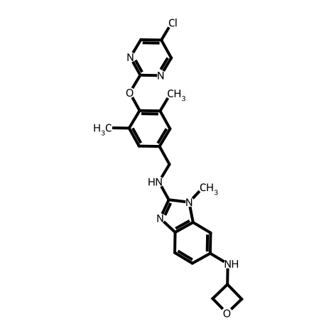 Cc1cc(CNc2nc3ccc(NC4COC4)cc3n2C)cc(C)c1Oc1ncc(Cl)cn1